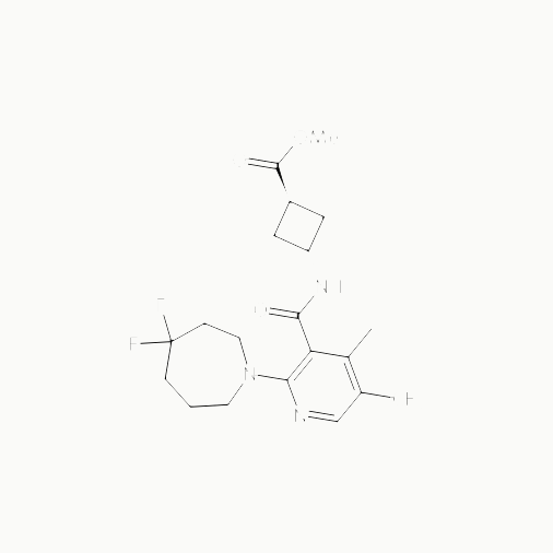 COC(=O)[C@H]1C[C@H](NC(=O)c2c(N3CCCC(F)(F)CC3)ncc(C(F)(F)F)c2C)C1